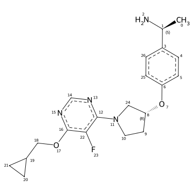 C[C@H](N)c1ccc(O[C@@H]2CCN(c3ncnc(OCC4CC4)c3F)C2)cc1